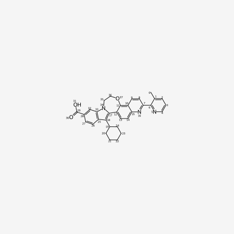 Cc1cccnc1-c1ccc2c3c(ccc2n1)-c1c(C2CCCCC2)c2ccc(C(=O)O)cc2n1CCO3